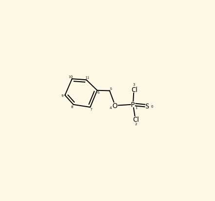 S=P(Cl)(Cl)OCc1ccccc1